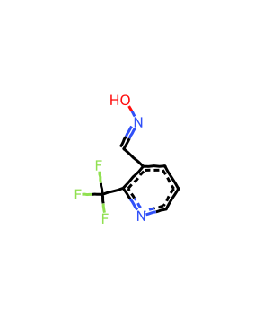 O/N=C/c1cccnc1C(F)(F)F